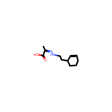 CC(=NNCCC1C=CCCC1)C(=O)O